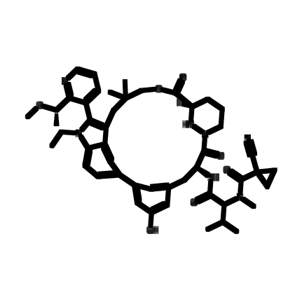 CCn1c(-c2cccnc2[C@H](C)OC)c2c3cc(ccc31)-c1cc(O)cc(c1)C[C@H](NC(=O)C(C(C)C)N(C)C(=O)C1(C#N)CC1)C(=O)N1CCC[C@H](N1)C(=O)OCC(C)(C)C2